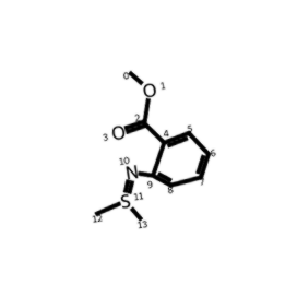 COC(=O)c1ccccc1N=S(C)C